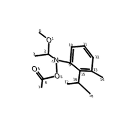 COC(C)N(OC(C)=O)c1cccc(C)c1C(C)C